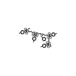 CCN(CCCCN(CCCN(CCCN(CCCCN(CC)S(=O)(=O)c1ccc(C)cc1)S(=O)(=O)c1ccc(C)cc1)Cc1ccccc1)S(=O)(=O)c1ccc(C)cc1)S(=O)(=O)c1ccc(C)cc1